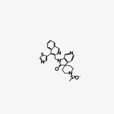 C[S+]([O-])N1CCC2(CC1)C(=O)N(Cc1ncc3ccccc3c1-c1cncs1)c1cnccc12